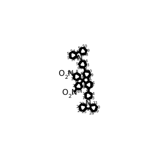 O=[N+]([O-])c1ccc(C2(c3ccc([N+](=O)[O-])cc3)c3cc(-c4ccc(-n5c6ccccc6c6ccccc65)cc4)ccc3-c3ccc(-c4ccc(-n5c6ccccc6c6ccccc65)cc4)cc32)cc1